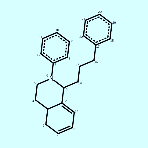 C1=CCC2CCN(c3ccccc3)C(CCCc3ccccc3)C2=C1